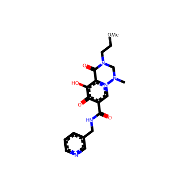 COCCN1CN(C)n2cc(C(=O)NCc3cccnc3)c(=O)c(O)c2C1=O